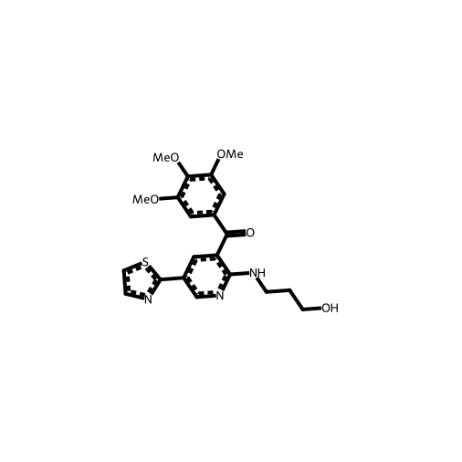 COc1cc(C(=O)c2cc(-c3nccs3)cnc2NCCCO)cc(OC)c1OC